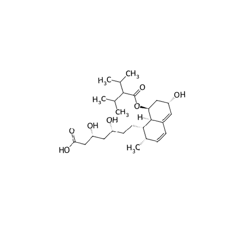 CC(C)C(C(=O)O[C@H]1C[C@H](O)C=C2C=C[C@H](C)[C@H](CC[C@@H](O)C[C@@H](O)CC(=O)O)[C@H]21)C(C)C